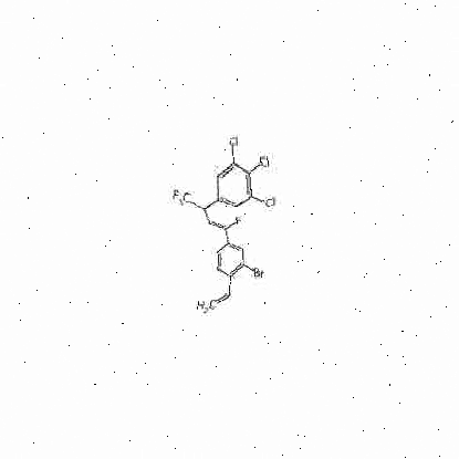 C=Cc1ccc(/C(F)=C/C(c2cc(Cl)c(Cl)c(Cl)c2)C(F)(F)F)cc1Br